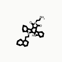 NCCN1C(=O)c2c(c3c4ccccc4n(CCc4cccc5ccccc45)c3c3[nH]c4ccccc4c23)C1=O